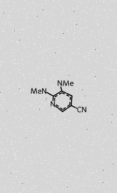 CNc1cc(C#N)cnc1NC